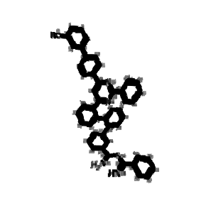 N#Cc1cccc(-c2ccc(-c3cc(-c4ccccc4-c4ccccc4-c4cccc(C(N)SC(=N)c5ccccc5)c4)nc(-c4ccccc4)n3)cc2)c1